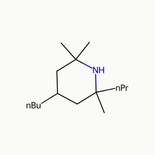 CCCCC1CC(C)(C)NC(C)(CCC)C1